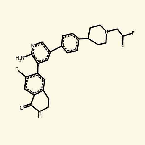 Nc1ncc(-c2ccc(C3CCN(CC(F)F)CC3)cc2)cc1-c1cc2c(cc1F)C(=O)NCC2